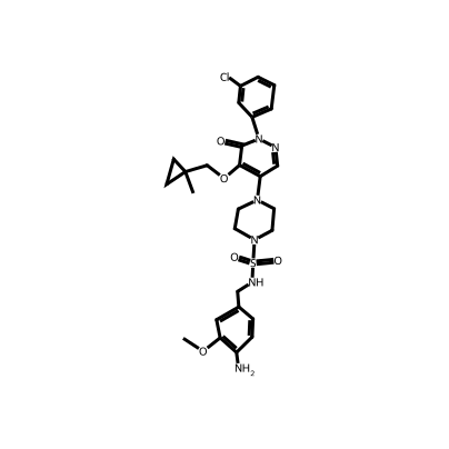 COc1cc(CNS(=O)(=O)N2CCN(c3cnn(-c4cccc(Cl)c4)c(=O)c3OCC3(C)CC3)CC2)ccc1N